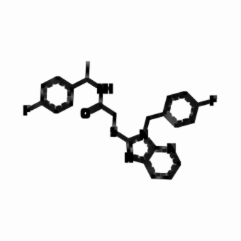 CC(NC(=O)CSc1nc2cccnc2n1Cc1ccc(F)cc1)c1ccc(F)cc1